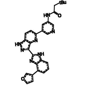 CC(C)(C)CC(=O)Nc1cncc(-c2ccc3[nH]nc(-c4nc5c(-c6ccoc6)cccc5[nH]4)c3n2)c1